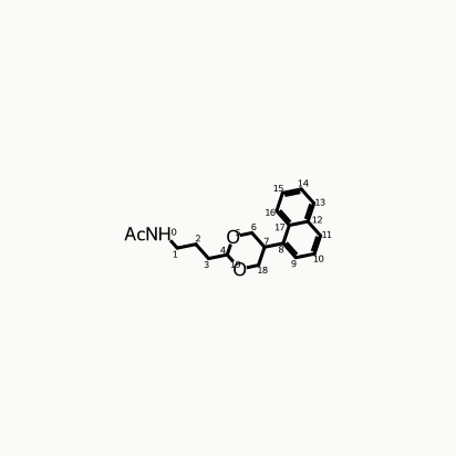 CC(=O)NCCCC1OCC(c2cccc3ccccc23)CO1